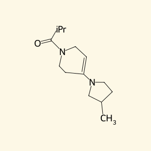 CC1CCN(C2=CCN(C(=O)C(C)C)CC2)C1